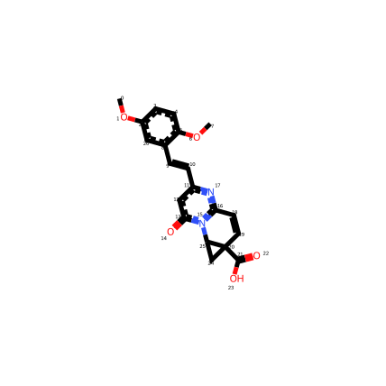 COc1ccc(OC)c(/C=C/c2cc(=O)n3c(n2)C=CC2(C(=O)O)CC32)c1